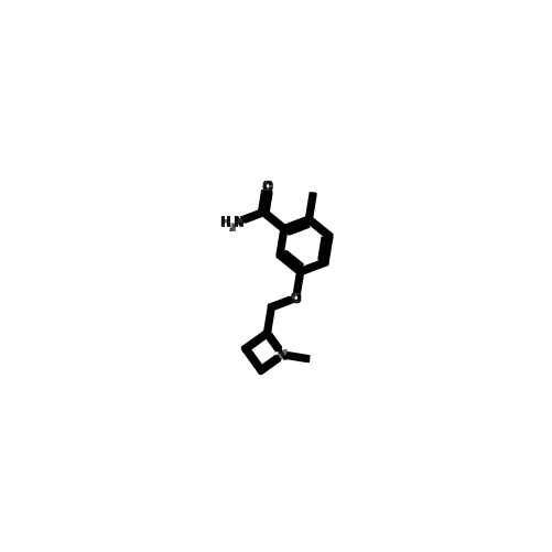 Cc1ccc(OCC2CCN2C)cc1C(N)=O